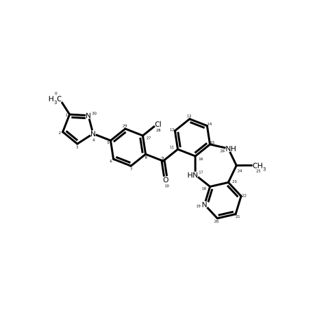 Cc1ccn(-c2ccc(C(=O)c3cccc4c3Nc3ncccc3C(C)N4)c(Cl)c2)n1